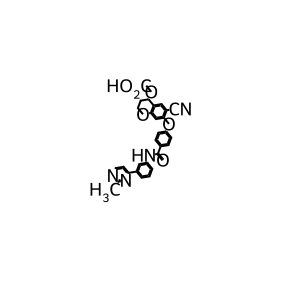 Cc1nccc(-c2cccc(NC(=O)c3ccc(Oc4cc5c(cc4C#N)C(OC(=O)O)CCO5)cc3)c2)n1